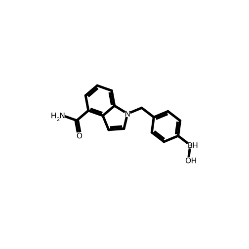 NC(=O)c1cccc2c1ccn2Cc1ccc(BO)cc1